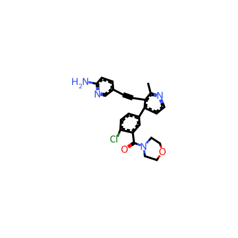 Cc1nccc(-c2ccc(Cl)c(C(=O)N3CCOCC3)c2)c1C#Cc1ccc(N)nc1